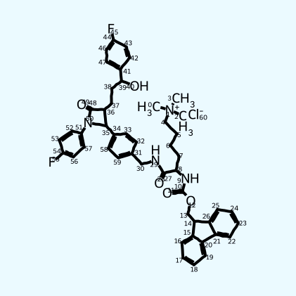 C[N+](C)(C)CCCCC(NC(=O)OCC1c2ccccc2-c2ccccc21)C(=O)NCc1ccc(C2C(CCC(O)c3ccc(F)cc3)C(=O)N2c2ccc(F)cc2)cc1.[Cl-]